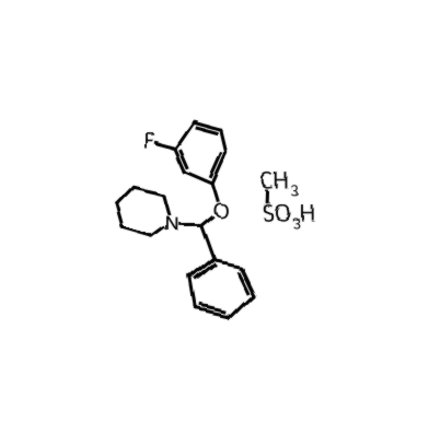 CS(=O)(=O)O.Fc1cccc(OC(c2ccccc2)N2CCCCC2)c1